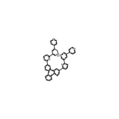 C1=C(c2ccncc2)CNC=C1c1cccc(-c2ccc3c4ccccc4c4ccc(-c5cccc(-c6cncc(-c7ccncc7)c6)n5)cc4c3c2)n1